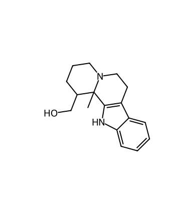 CC12c3[nH]c4ccccc4c3CCN1CCCC2CO